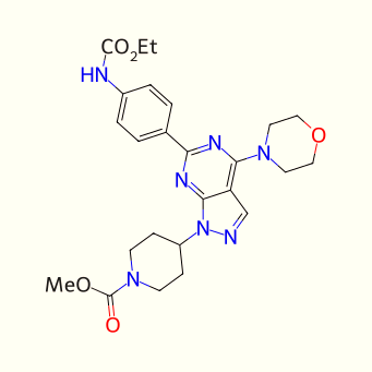 CCOC(=O)Nc1ccc(-c2nc(N3CCOCC3)c3cnn(C4CCN(C(=O)OC)CC4)c3n2)cc1